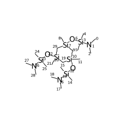 CN(C)[Si](C)(C)O[Si]1(C)C[Si](C)(O[Si](C)(C)N(C)C)C[Si](C)(O[Si](C)(C)N(C)C)C1